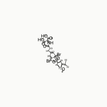 COc1ccc(S(=O)(=O)c2c(Br)cc(CCC(=O)NC(C(=O)O)C(=O)O)cc2Br)cc1C(C)C